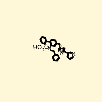 O=C(O)N(CCc1ccccc1)c1cc(Cn2cc(-c3cccnc3)nn2)ccc1-c1ccccc1